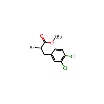 CC(=O)C(Cc1ccc(Cl)c(Cl)c1)C(=O)OC(C)(C)C